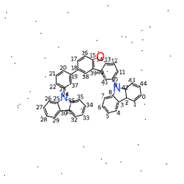 C1=CC2c3ccccc3N(c3ccc4oc5ccc(-c6cccc(-n7c8ccccc8c8ccccc87)c6)cc5c4c3)C2C=C1